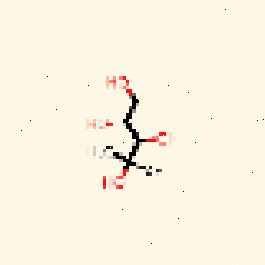 CC(=O)[C@](C)(O)[C@H](O)[C@H](O)CO